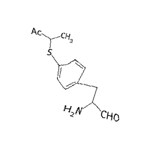 CC(=O)C(C)Sc1ccc(CC(N)C=O)cc1